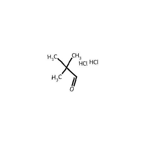 CC(C)(C)C=O.Cl.Cl